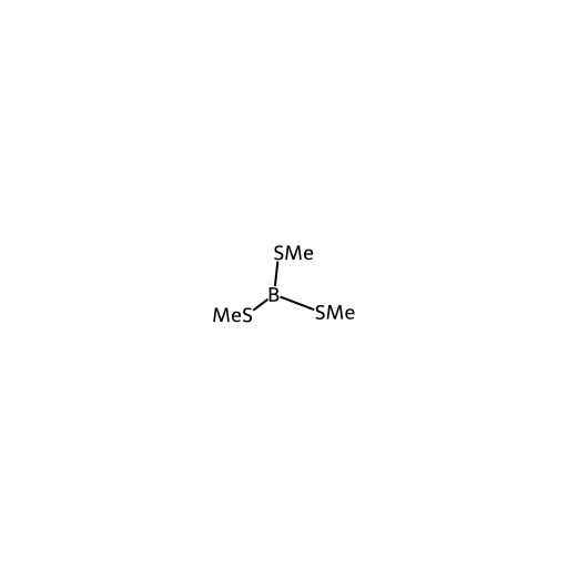 CSB(SC)SC